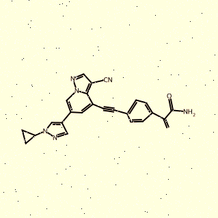 C=C(C(N)=O)c1ccc(C#Cc2cc(-c3cnn(C4CC4)c3)cn3ncc(C#N)c23)cc1